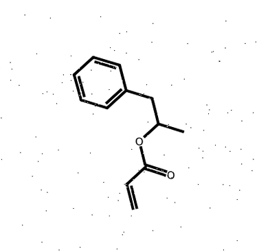 C=CC(=O)OC(C)Cc1cc[c]cc1